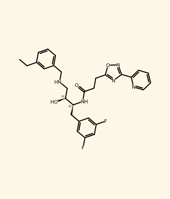 CCc1cccc(CNC[C@H](O)[C@H](Cc2cc(F)cc(F)c2)NC(=O)CCc2nc(-c3ccccn3)no2)c1